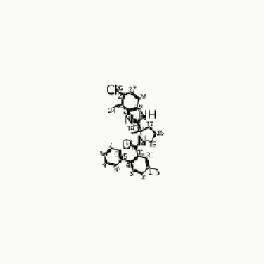 Cc1ccc(-c2ccccc2)c(C(=O)N2CCC[C@@]2(C)c2nc3c(C)c(Cl)ccc3[nH]2)c1